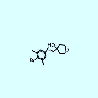 Cc1cc(OCC2(O)CCOCC2)cc(C)c1Br